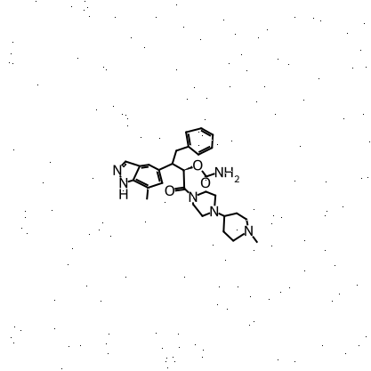 Cc1cc(C(Cc2ccccc2)[C@@H](OC(N)=O)C(=O)N2CCN(C3CCN(C)CC3)CC2)cc2cn[nH]c12